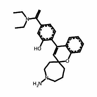 C=C(c1ccc(C2=CC3(CCCN(N)CC3)Oc3ccccc32)c(O)c1)N(CC)CC